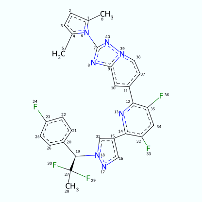 Cc1ccc(C)n1-c1nc2cc(-c3nc(-c4cnn([C@H](c5ccc(F)cc5)C(C)(F)F)c4)c(F)cc3F)ccn2n1